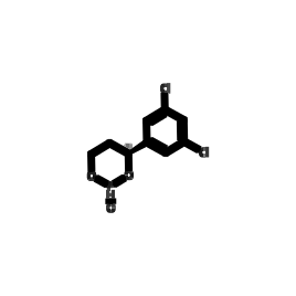 O=[PH]1OCC[C@@H](c2cc(Cl)cc(Cl)c2)O1